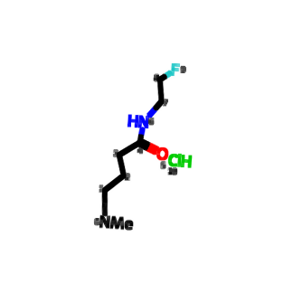 CNCCCC(=O)NCCF.Cl